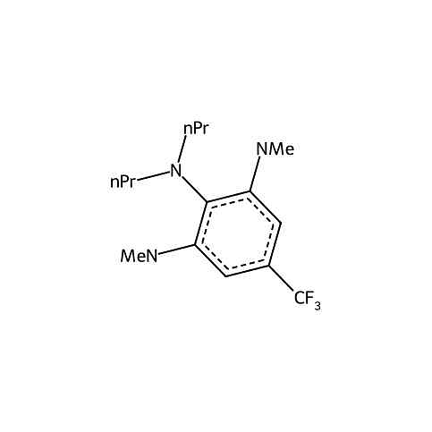 CCCN(CCC)c1c(NC)cc(C(F)(F)F)cc1NC